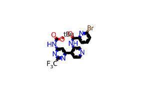 CC(C)(C)OC(=O)Nc1cc(-c2ccncc2NC(=O)c2cccc(Br)n2)nc(C(F)(F)F)n1